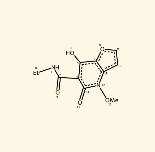 CCNC(=O)c1c(O)c2occc2n(OC)c1=O